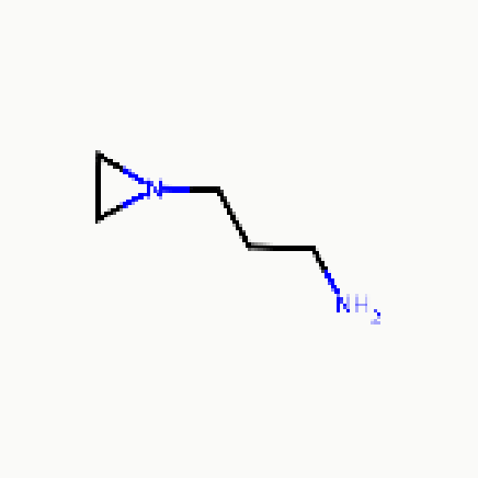 NCCCN1CC1